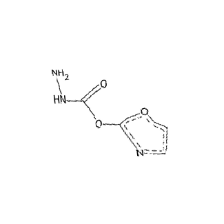 NNC(=O)Oc1ncco1